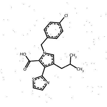 CC(C)Cc1cn(Cc2ccc(Cl)cc2)c(C(=O)O)c1-c1nccs1